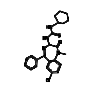 CN1C(=O)C(NC(=S)NC2CCCCC2)N=C(c2ccccc2)c2cc(Cl)ccc21